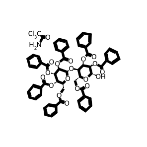 NC(=O)C(Cl)(Cl)Cl.O=C(OC[C@H]1O[C@@H](O[C@H]2[C@H](OC(=O)c3ccccc3)[C@@H](OC(=O)c3ccccc3)[C@H](O)O[C@@H]2COC(=O)c2ccccc2)[C@H](OC(=O)c2ccccc2)[C@@H](OC(=O)c2ccccc2)[C@H]1OC(=O)c1ccccc1)c1ccccc1